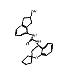 O=C(Nc1cccc2c1C[C@H](O)C2)N[C@@H]1CC2(CCCC2)Oc2ccccc21